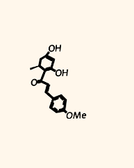 COc1ccc(/C=C/C(=O)C2=C(O)C=C(O)C[C@@H]2C)cc1